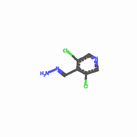 N/N=C/c1c(Cl)cncc1Cl